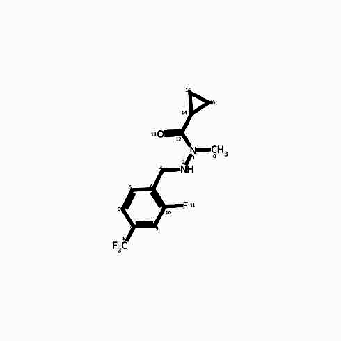 CN(NCc1ccc(C(F)(F)F)cc1F)C(=O)C1CC1